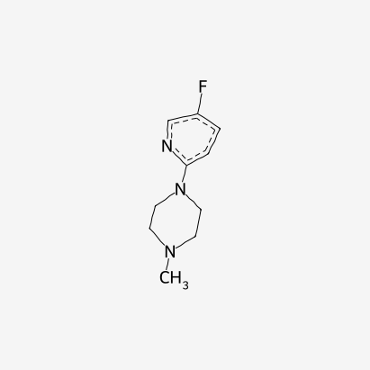 CN1CCN(c2ccc(F)cn2)CC1